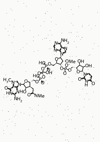 CNC(=O)C[C@@H]1[C@@H](COP(=O)(O)OP(=O)(O)OP(=O)(O)OC[C@H]2O[C@@H](n3cnc4c(N)ncnc43)[C@H](OC)[C@@H]2OP(=O)([O-])OC[C@H]2O[C@@H](n3ccc(=O)[nH]c3=O)[C@H](O)[C@@H]2O)OC(n2c[n+](C)c3c(=O)[nH]c(N)nc32)[C@@H]1O